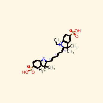 CCN1\C(=C/C=C/C=C/C2=Nc3ccc(S(=O)(=O)O)cc3C2(C)C)C(C)(C)c2cc(S(=O)(=O)O)ccc21